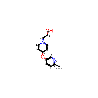 CCc1ccc(OC2CCN(CCO)CC2)cn1